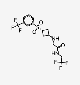 O=C(CN[C@H]1C[C@H](S(=O)(=O)c2cccc(C(F)(F)F)c2)C1)NCC(F)(F)F